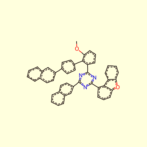 COc1cccc(-c2nc(-c3ccc4ccccc4c3)nc(-c3cccc4oc5ccccc5c34)n2)c1-c1ccc(-c2ccc3ccccc3c2)cc1